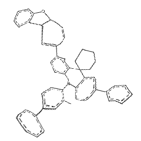 Cc1cc(-c2ccccc2)ccc1N1c2ccc(C3=CC4c5ccccc5OC4C=C3)cc2C2(CCCCC2)c2cc(-c3ccccc3)ccc21